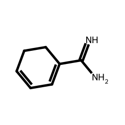 N=C(N)C1=CC=CCC1